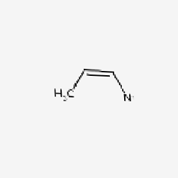 C/C=C\[N]